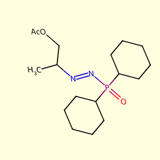 CC(=O)OCC(C)N=NP(=O)(C1CCCCC1)C1CCCCC1